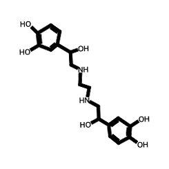 Oc1ccc(C(O)CNCCNCC(O)c2ccc(O)c(O)c2)cc1O